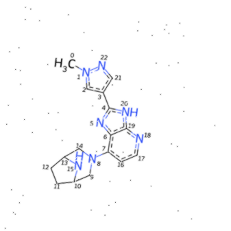 Cn1cc(-c2nc3c(N4CC5CCC(C4)N5)ccnc3[nH]2)cn1